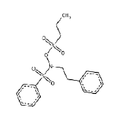 CCCS(=O)(=O)ON(CCc1ccccc1)S(=O)(=O)c1ccccc1